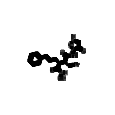 CC(C)C[C@@H](C(=O)NN1SNCC1=O)[C@H](CCCc1ccccc1)C(=O)NO